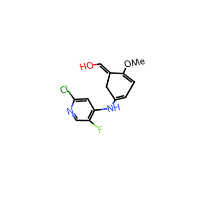 COC1=CC=C(Nc2cc(Cl)ncc2F)CC1=CO